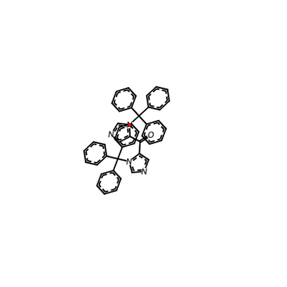 O=C(c1cncn1C(c1ccccc1)(c1ccccc1)c1ccccc1)c1cncn1C(c1ccccc1)(c1ccccc1)c1ccccc1